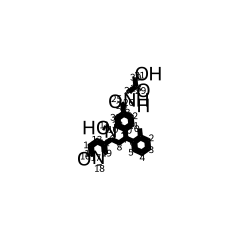 Cc1ccccc1C(CC(=NO)c1ccc(=O)n(C)c1)c1ccc(C(=O)NCC(O)CO)cc1